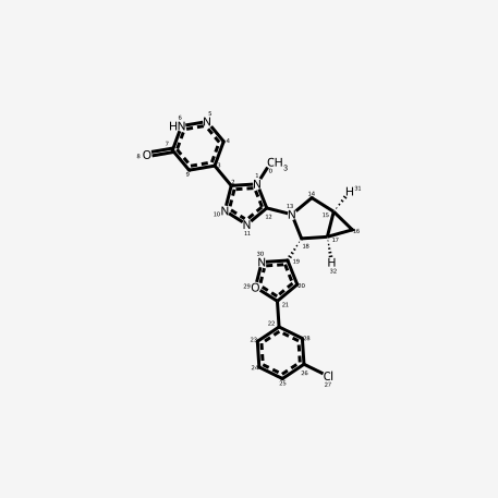 Cn1c(-c2cn[nH]c(=O)c2)nnc1N1C[C@H]2C[C@H]2[C@@H]1c1cc(-c2cccc(Cl)c2)on1